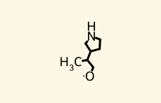 CC(C[O])C1CCNC1